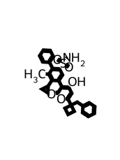 Cc1c(-c2ccccc2)c(S(N)(=O)=O)cc(-c2c(O)cc(C3(Cc4ccccc4)CCC3)oc2=O)c1C1CC1